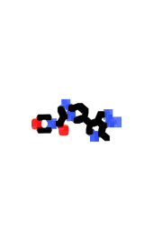 Cc1ncc(-c2ccc3ncc(C(=O)N4CCOCC4)n3c2)c2cn[nH]c12